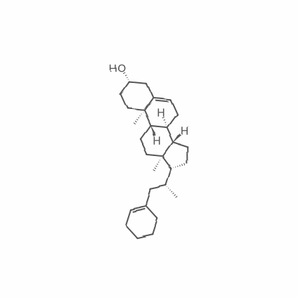 C[C@H](CC1=CCCCC1)[C@H]1CC[C@H]2[C@@H]3CC=C4C[C@@H](O)CC[C@]4(C)[C@H]3CC[C@]12C